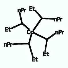 CCC[CH](CC)[Co]([CH](CC)CCC)([CH](CC)CCC)[CH](CC)CCC